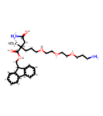 NCCCOCCOCCOCCCC(CC(N)=O)(C(=O)O)C(=O)OCC1c2ccccc2-c2ccccc21